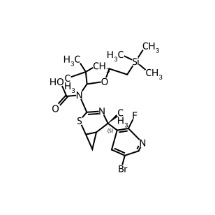 CC(C)(C)C(OCC[Si](C)(C)C)N(C(=O)O)C1=N[C@](C)(c2cc(Br)cnc2F)C2CC2S1